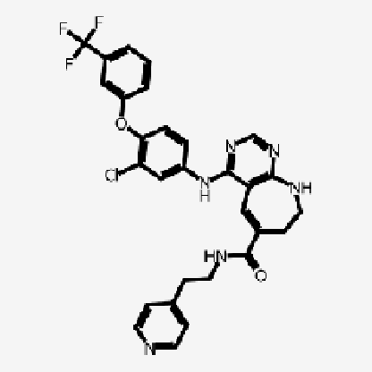 O=C(NCCc1ccncc1)C1=Cc2c(ncnc2Nc2ccc(Oc3cccc(C(F)(F)F)c3)c(Cl)c2)NCC1